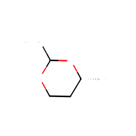 C[C@@H]1CCOC(C(=O)O)O1